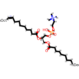 CCCCCCCC/C=C\CCCCCCCC(=O)O[C@H](COC(=O)CCCCCCCCCCCCCCCCC)COP(=O)(O)OCC[N+](C)(C)C